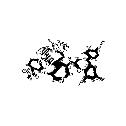 CCCN([C@H](CN)CCc1c(F)cncc1NC(=O)C[C@@H](c1ccc(F)cc1)c1cc(F)cc(F)c1)S(=O)(=O)N1CCC(S(C)(=O)=O)CC1